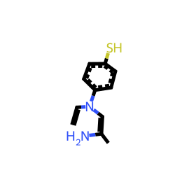 C=CN(/C=C(/C)N)c1ccc(S)cc1